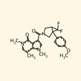 COc1ccc(C23CN(C(=O)c4cn(C)c5c(C)cn(C)c(=O)c45)CC2C3(F)F)cc1